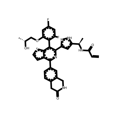 C=CC(=O)N[C@H](C)c1cc(-c2nc(-c3ccc4c(c3)CNC(=O)C4)c3ccsc3c2-c2c(F)cc(F)cc2OC[C@@H](C)O)n[nH]1